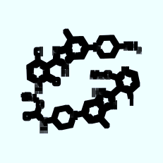 COc1nccc(I)c1-c1nc2c(C)cc(N3CCC(NC(=O)OC(C)(C)C)CC3)cc2[nH]1.Cc1cc(N2CCC(N)CC2)cc2[nH]c(-c3c(Cl)cc[nH]c3=O)nc12